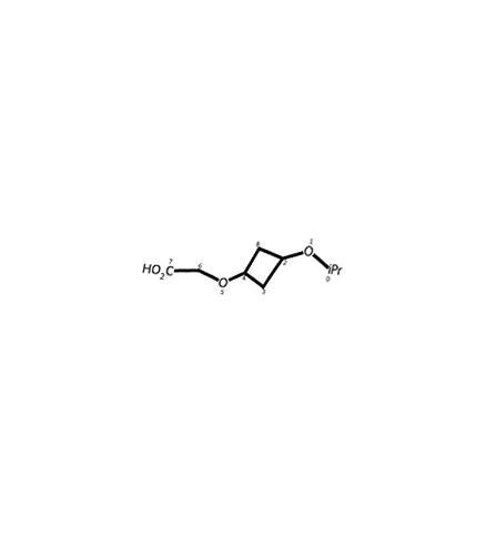 CC(C)OC1CC(OCC(=O)O)C1